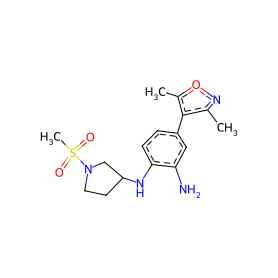 Cc1noc(C)c1-c1ccc(NC2CCN(S(C)(=O)=O)C2)c(N)c1